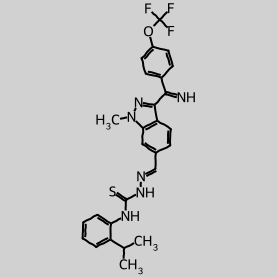 CC(C)c1ccccc1NC(=S)NN=Cc1ccc2c(C(=N)c3ccc(OC(F)(F)F)cc3)nn(C)c2c1